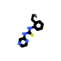 CCc1ccccc1NC(=S)Nc1cnccn1